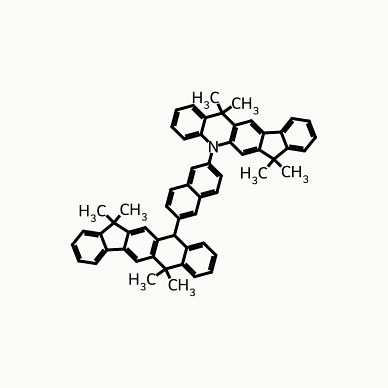 CC1(C)c2ccccc2-c2cc3c(cc21)C(c1ccc2cc(N4c5ccccc5C(C)(C)c5cc6c(cc54)C(C)(C)c4ccccc4-6)ccc2c1)c1ccccc1C3(C)C